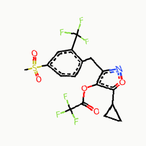 CS(=O)(=O)c1ccc(Cc2noc(C3CC3)c2OC(=O)C(F)(F)F)c(C(F)(F)F)c1